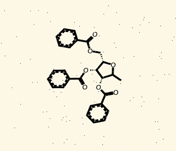 CC1O[C@@H](COC(=O)c2ccccc2)[C@@H](OC(=O)c2ccccc2)[C@H]1OC(=O)c1ccccc1